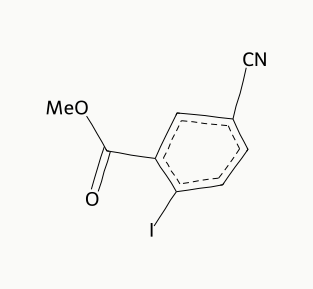 COC(=O)c1cc(C#N)ccc1I